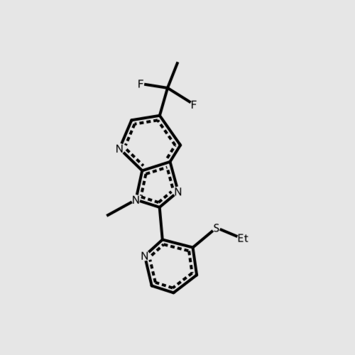 CCSc1cccnc1-c1nc2cc(C(C)(F)F)cnc2n1C